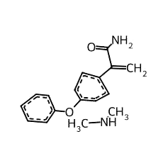 C=C(C(N)=O)c1ccc(Oc2ccccc2)cc1.CNC